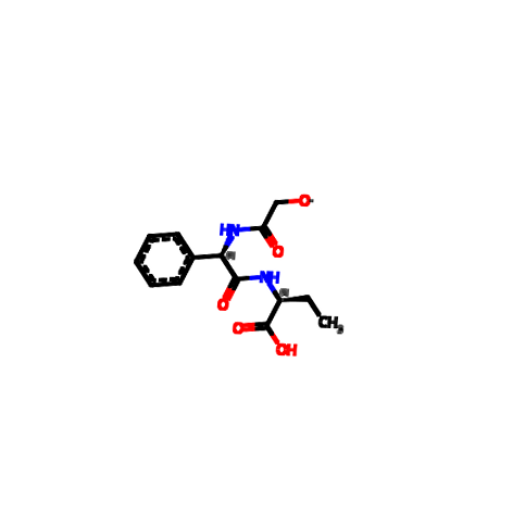 CC[C@H](NC(=O)[C@H](NC(=O)C[O])c1ccccc1)C(=O)O